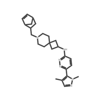 Cc1cnn(C)c1-c1ccc(NC2CC3(CCN(CC4CC5C=CC4C5)CC3)C2)nn1